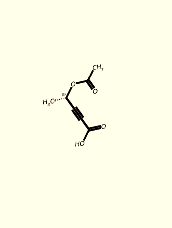 CC(=O)O[C@@H](C)C#CC(=O)O